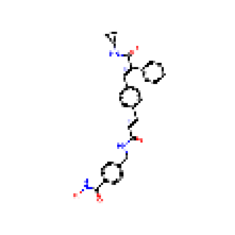 O=C(/C=C/c1ccc(/C=C(/C(=O)NC2CC2)c2ccccc2)cc1)NCc1ccc(C(=O)NO)cc1